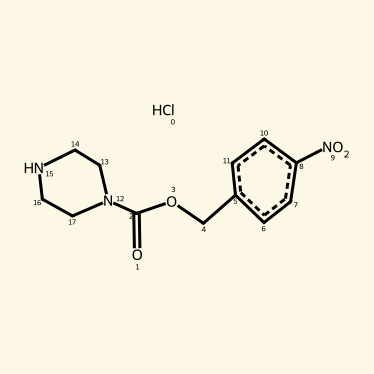 Cl.O=C(OCc1ccc([N+](=O)[O-])cc1)N1CCNCC1